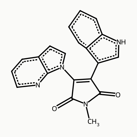 CN1C(=O)C(c2c[nH]c3ccccc23)=C(n2ccc3cccnc32)C1=O